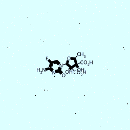 C[C@H]1O[C@@H](n2cc(F)c(N)nc2=O)[C@@](O)(C(=O)O)[C@@]1(O)C(=O)O